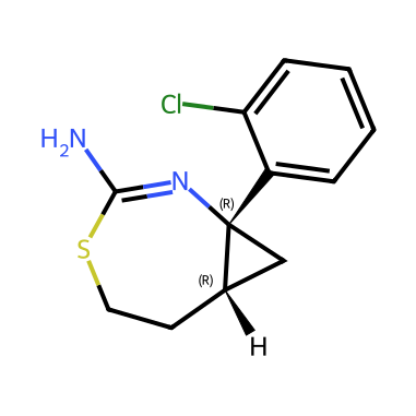 NC1=N[C@]2(c3ccccc3Cl)C[C@@H]2CCS1